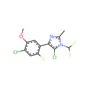 COc1cc(-c2nc(C)n(C(F)F)c2Cl)c(F)cc1Cl